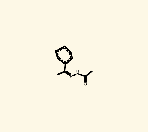 CC(=O)N/N=C(/C)c1ccccc1